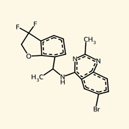 Cc1nc(NC(C)c2cccc3c2OCC3(F)F)c2cc(Br)ccc2n1